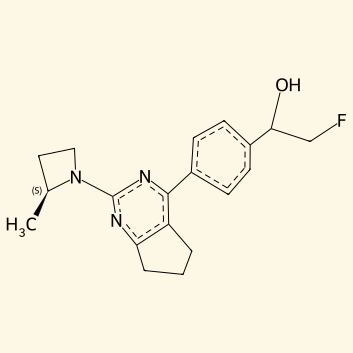 C[C@H]1CCN1c1nc2c(c(-c3ccc(C(O)CF)cc3)n1)CCC2